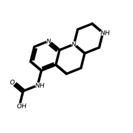 O=C(O)Nc1ccnc2c1CCC1CNCCN21